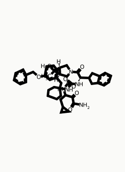 CC1(C)[C@@H]2[C@@H](C(=O)NC(CC3CC3)C(=O)C(N)=O)N(C(=O)[C@@H](NC(=O)NC3(Cc4cccc(OCc5ccccc5)c4)CCCCC3)C3Cc4ccccc4C3)C[C@@H]21